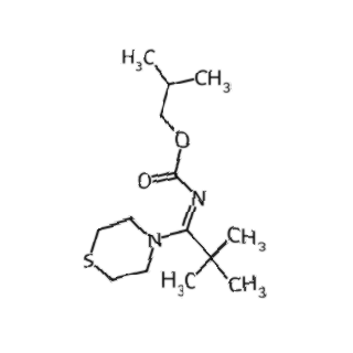 CC(C)COC(=O)/N=C(\N1CCSCC1)C(C)(C)C